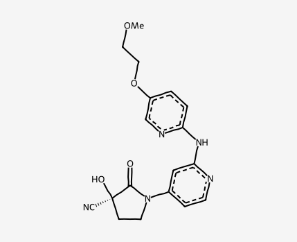 COCCOc1ccc(Nc2cc(N3CC[C@](O)(C#N)C3=O)ccn2)nc1